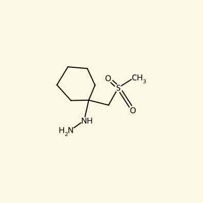 CS(=O)(=O)CC1(NN)CCCCC1